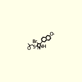 COc1ccc2cc(-c3[nH]nc(SCC(C)=O)c3Br)ccc2c1